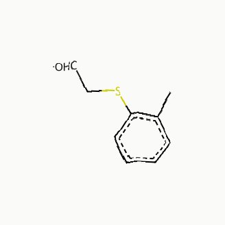 Cc1ccccc1SC[C]=O